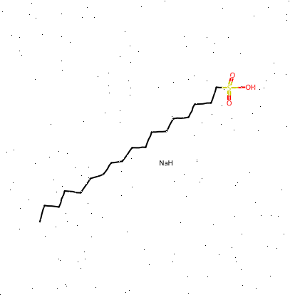 CCCCCCCCCCCCCCCCCCS(=O)(=O)O.[NaH]